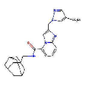 CCOC(=O)c1cnn(Cc2cn3c(C(=O)NCC45CC6CC(CC(C6)C4)C5)cccc3n2)c1